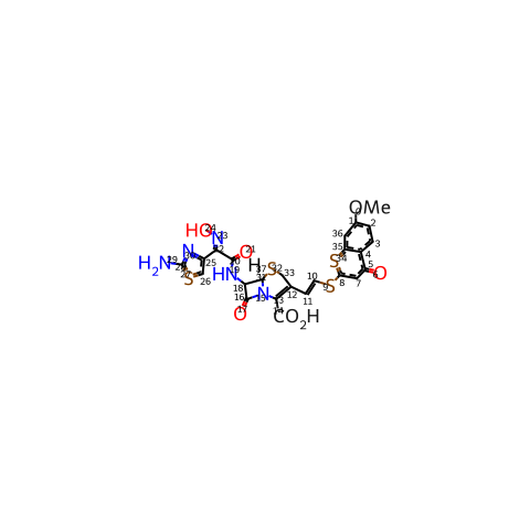 COc1ccc2c(=O)cc(S/C=C/C3=C(C(=O)O)N4C(=O)C(NC(=O)/C(=N/O)c5csc(N)n5)[C@H]4SC3)sc2c1